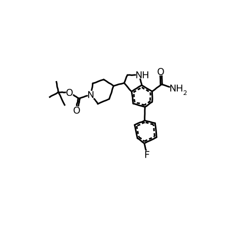 CC(C)(C)OC(=O)N1CCC(C2CNc3c(C(N)=O)cc(-c4ccc(F)cc4)cc32)CC1